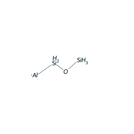 [Al][SiH2]O[SiH3]